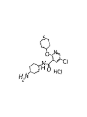 Cl.NC1CCC(NC(=O)c2cc(Cl)cnc2OC2CCSCC2)CC1